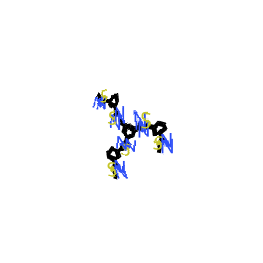 Cc1nnc(-c2cccc(-c3nc(-c4cc(-c5nsc(-c6cccc(-c7nnc(C)s7)c6)n5)cc(-c5nsc(-c6cccc(-c7nnc(C)s7)c6)n5)c4)ns3)c2)s1